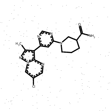 Cc1nn2cc(Cl)cnc2c1-c1cc(N2CCCC(C(N)=O)C2)ncn1